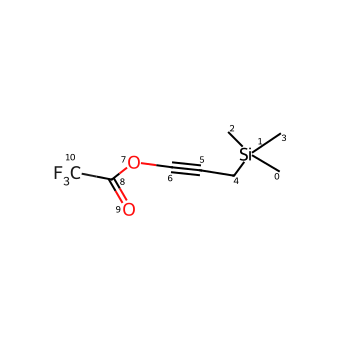 C[Si](C)(C)CC#COC(=O)C(F)(F)F